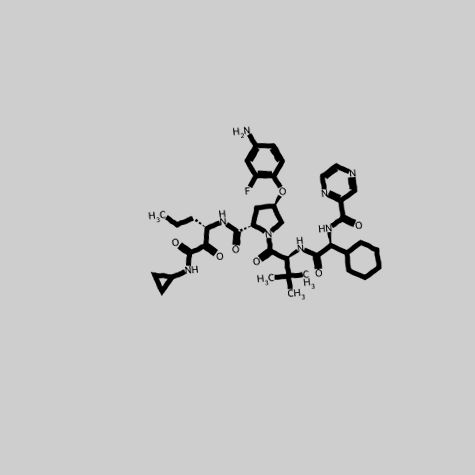 CCC[C@H](NC(=O)[C@@H]1C[C@@H](Oc2ccc(N)cc2F)CN1C(=O)[C@@H](NC(=O)[C@@H](NC(=O)c1cnccn1)C1CCCCC1)C(C)(C)C)C(=O)C(=O)NC1CC1